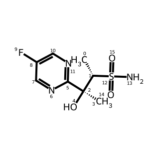 C[C@@H]([C@@](C)(O)c1ncc(F)cn1)S(N)(=O)=O